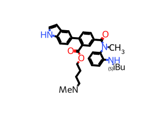 CC[C@H](C)Nc1ccccc1N(C)C(=O)c1ccc(-c2ccc3[nH]ccc3c2)c(C(=O)OCCCCNC)c1